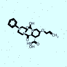 C=CCO[C@H]1C[C@H](C(=O)NO)[C@@H](C(=O)N2CCN(c3ccccc3)CC2)N(C(=O)O)C1